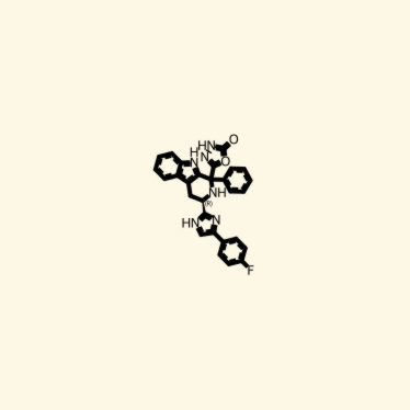 O=c1[nH]nc(C2(c3ccccc3)N[C@@H](c3nc(-c4ccc(F)cc4)c[nH]3)Cc3c2[nH]c2ccccc32)o1